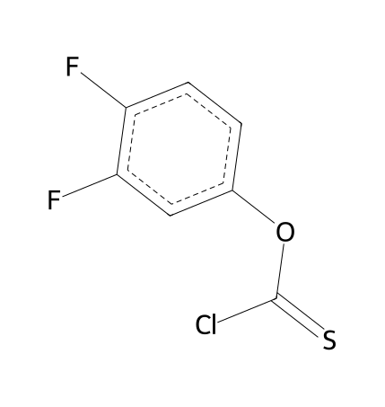 Fc1ccc(OC(=S)Cl)cc1F